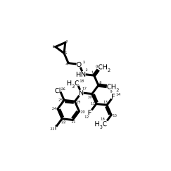 C=C(NOCC1CC1)C(=C)/C(=C(F)\C(F)=C/C)N(C)c1ccc(I)cc1Cl